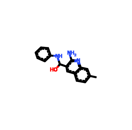 Cc1ccc2cc(C(O)Nc3ccccc3)c(N)nc2c1